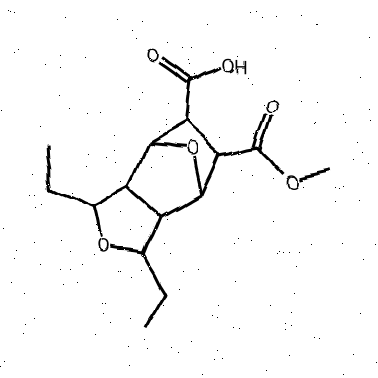 CCC1OC(CC)C2C3OC(C(C(=O)O)C3C(=O)OC)C12